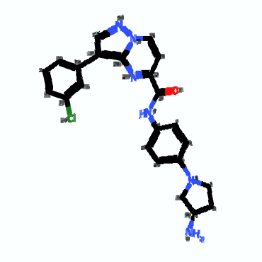 N[C@@H]1CCN(c2ccc(NC(=O)c3ccn4ncc(-c5cccc(Cl)c5)c4n3)cc2)C1